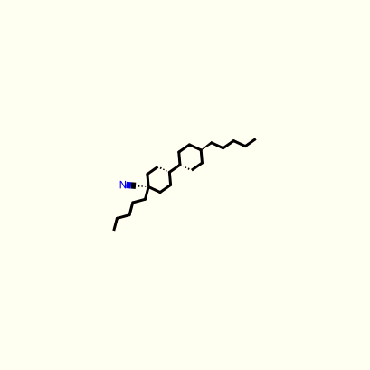 CCCCC[C@H]1CC[C@H]([C@H]2CC[C@](C#N)(CCCCC)CC2)CC1